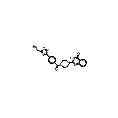 CC(C)(C)Cc1nc(-c2ccc(C(=O)N3CCN(c4nc5ccccc5c(=O)[nH]4)CC3)cc2)no1